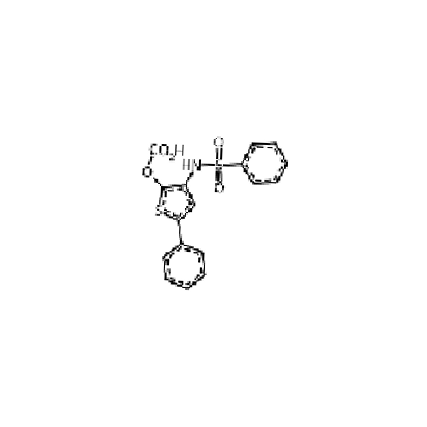 O=C(O)Oc1sc(-c2ccccc2)cc1NS(=O)(=O)c1ccccc1